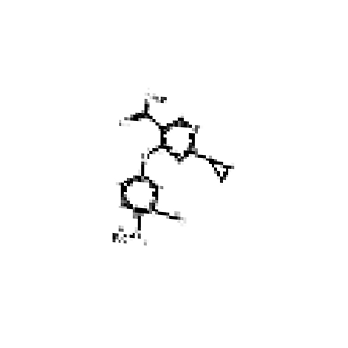 COC(=O)c1cnc(C2CC2)cc1Oc1ccc(OC(F)(F)F)c(Cl)c1